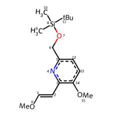 COC=Cc1nc(CO[Si](C)(C)C(C)(C)C)ccc1OC